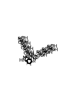 CN(C)[PH](c1cccc2[nH]nnc12)(N(C)C)[N+](C)(C)[O-].O=P(O)(O)F.O=P(O)(O)F.O=P(O)(O)F.O=P(O)(O)F.O=P(O)(O)F.O=P(O)(O)F